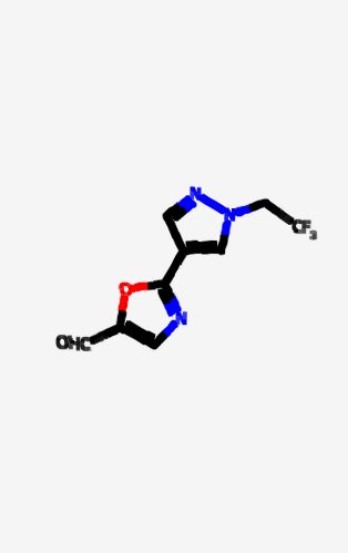 O=Cc1cnc(-c2cnn(CC(F)(F)F)c2)o1